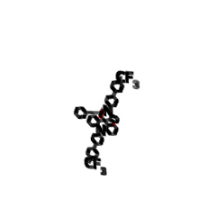 FC(F)(F)c1ccc(-c2ccc(N3c4ccccc4C4(c5ccccc53)c3ccccc3N(c3ccc(-c5ccc(C(F)(F)F)cc5)cc3)c3ccc(-c5ccccc5)cc34)cc2)cc1